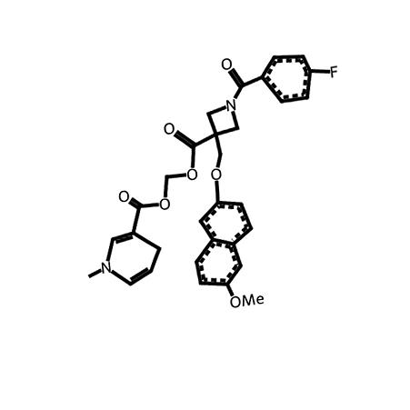 COc1ccc2cc(OCC3(C(=O)OCOC(=O)C4=CN(C)C=CC4)CN(C(=O)c4ccc(F)cc4)C3)ccc2c1